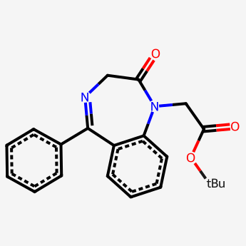 CC(C)(C)OC(=O)CN1C(=O)CN=C(c2ccccc2)c2ccccc21